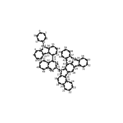 c1ccc(-n2c3ccccc3c3c(-c4nc(-n5c6ccc7ccccc7c6c6cc7c8ccccc8n8c9ccccc9c(c65)c78)nc5ccccc45)cccc32)cc1